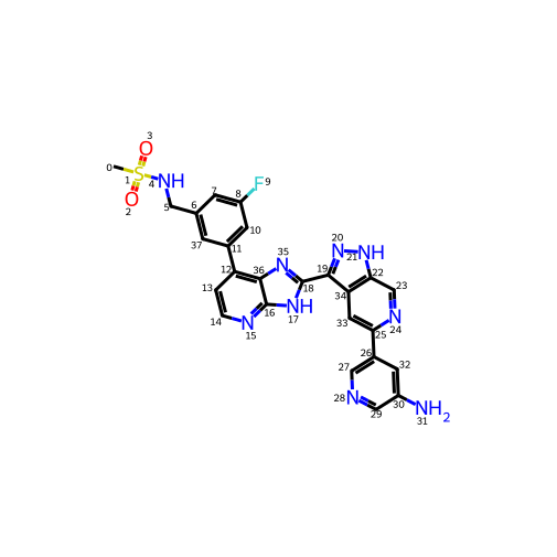 CS(=O)(=O)NCc1cc(F)cc(-c2ccnc3[nH]c(-c4n[nH]c5cnc(-c6cncc(N)c6)cc45)nc23)c1